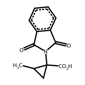 CC1CC1(C(=O)O)N1C(=O)c2ccccc2C1=O